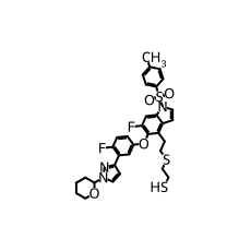 Cc1ccc(S(=O)(=O)n2ccc3c(CCSCCS)c(Oc4ccc(F)c(-c5ccn(C6CCCCO6)n5)c4)c(F)cc32)cc1